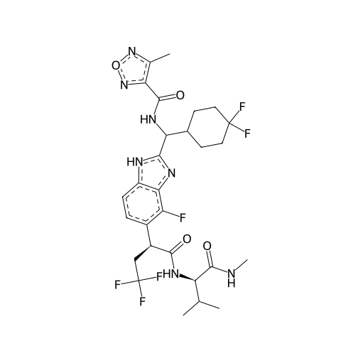 CNC(=O)[C@H](NC(=O)[C@@H](CC(F)(F)F)c1ccc2[nH]c(C(NC(=O)c3nonc3C)C3CCC(F)(F)CC3)nc2c1F)C(C)C